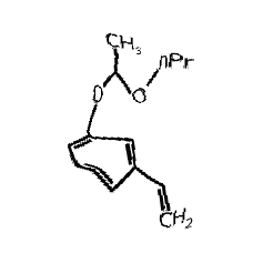 C=Cc1cccc(OC(C)OCCC)c1